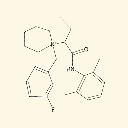 CCC(C(=O)Nc1c(C)cccc1C)[N+]1(Cc2cccc(F)c2)CCCCC1